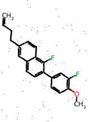 C=CCCc1ccc2c(F)c(-c3ccc(OC)c(F)c3)ccc2c1